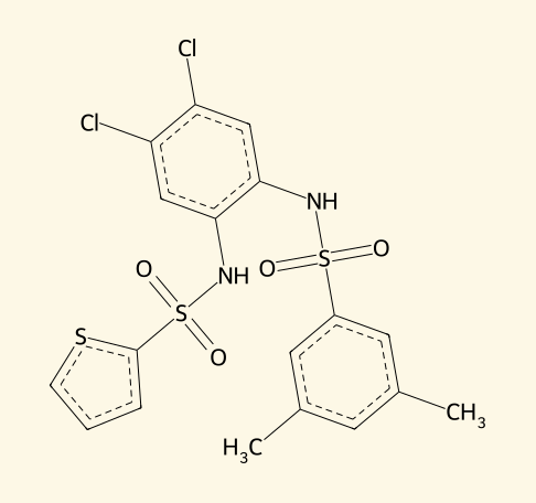 Cc1cc(C)cc(S(=O)(=O)Nc2cc(Cl)c(Cl)cc2NS(=O)(=O)c2cccs2)c1